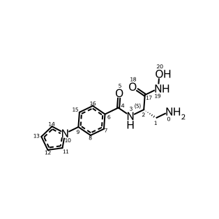 NC[C@H](NC(=O)c1ccc(-n2cccc2)cc1)C(=O)NO